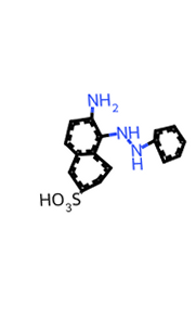 Nc1ccc2cc(S(=O)(=O)O)ccc2c1NNc1ccccc1